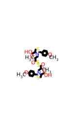 COc1ccc(C2SCC(C(=O)O)N2C[C@H](C)C(=O)SSC(=O)[C@@H](C)CN2C(C(=O)O)CSC2c2ccc(OC)cc2)cc1